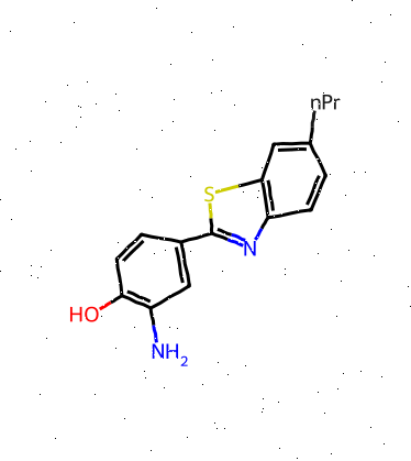 CCCc1ccc2nc(-c3ccc(O)c(N)c3)sc2c1